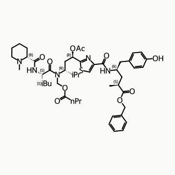 CCCC(=O)OCN(C(=O)[C@@H](NC(=O)[C@H]1CCCCN1C)[C@@H](C)CC)[C@H](C[C@@H](OC(C)=O)c1nc(C(=O)N[C@@H](Cc2ccc(O)cc2)C[C@H](C)C(=O)OCc2ccccc2)cs1)C(C)C